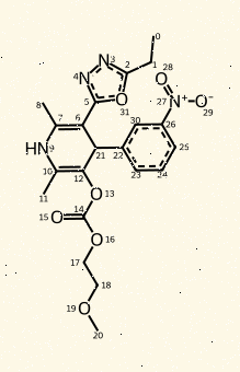 CCc1nnc(C2=C(C)NC(C)=C(OC(=O)OCCOC)C2c2cccc([N+](=O)[O-])c2)o1